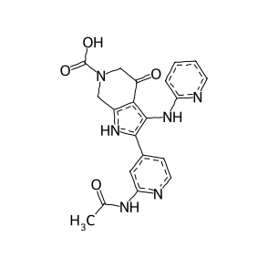 CC(=O)Nc1cc(-c2[nH]c3c(c2Nc2ccccn2)C(=O)CN(C(=O)O)C3)ccn1